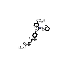 CC(C)(C)OC(=O)NCCC(=O)Nc1ccc(OC/C(=N\OC2CCCCO2)c2cc(C(=O)O)ccn2)cc1